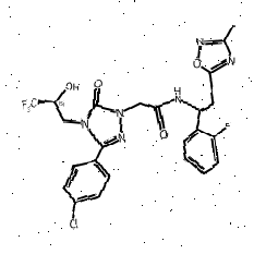 Cc1noc(CC(NC(=O)Cn2nc(-c3ccc(Cl)cc3)n(C[C@H](O)C(F)(F)F)c2=O)c2ccccc2F)n1